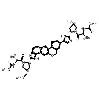 CC[C@H](C)C(NC(=O)OC)C(=O)N1C[C@@H](C)C[C@H]1c1ncc(-c2ccc3c(c2)COc2cc4c(ccc5nc([C@@H]6C[C@H](COC)CN6C(=O)C(NC(=O)OC)[C@@H](C)CC)[nH]c54)cc2-3)[nH]1